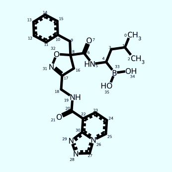 CC(C)CC(NC(=O)C1(Cc2ccccc2)CC(CNC(=O)c2cccn3cnnc23)=NO1)B(O)O